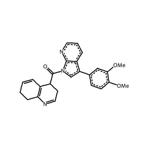 COc1ccc(-c2cn(C(=O)C3CC=NC4=C3C=CCC4)c3ncccc23)cc1OC